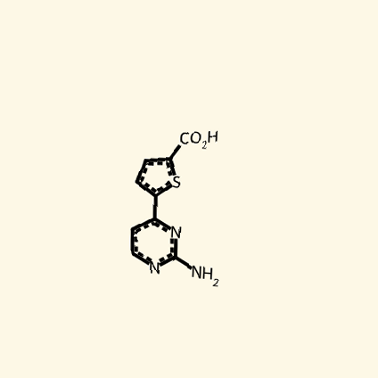 Nc1nccc(-c2ccc(C(=O)O)s2)n1